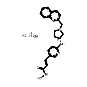 Cl.Cl.Cl.O=C(/C=C/c1ccc(N[C@@H]2CCN(Cc3ccc4ccccc4n3)C2)nc1)NO